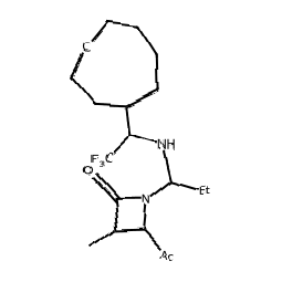 CCC(NC(C1CCCCCCC1)C(F)(F)F)N1C(=O)C(C)C1C(C)=O